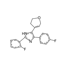 Fc1ccc(-c2nc(-c3ccccc3F)[nH]c2C2=CCOCC2)cc1